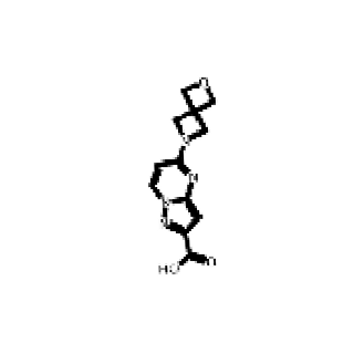 O=C(O)c1cc2nc(N3CC4(COC4)C3)ccn2n1